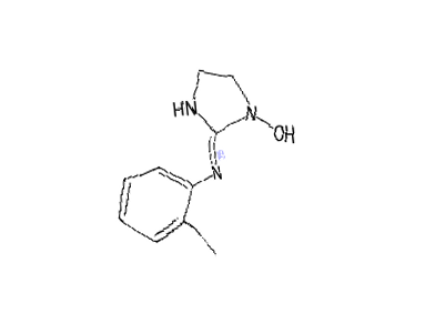 Cc1ccccc1/N=C1\NCCN1O